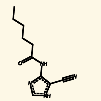 CCCCCC(=O)Nc1nc[nH]c1C#N